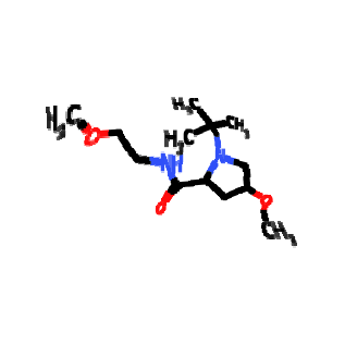 COCCNC(=O)C1CC(OC)CN1C(C)(C)C